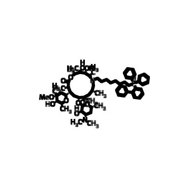 CC[C@H]1OC(=O)[C@H](C)[C@@H](C2C[C@@](C)(OC)[C@@H](O)[C@H](C)O2)C[C@@H](O[C@@H]2O[C@H](C)C[C@H](N(C)C)[C@H]2O)[C@](C)(O)C[C@@H](C)CN(CCCCCCCC[PH](c2ccccc2)(c2ccccc2)c2ccccc2-c2ccccc2)[C@H](C)[C@@H](O)[C@]1(C)O